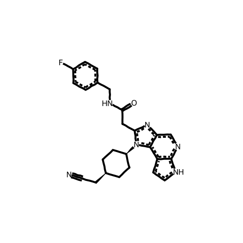 N#CC[C@H]1CC[C@@H](n2c(CC(=O)NCc3ccc(F)cc3)nc3cnc4[nH]ccc4c32)CC1